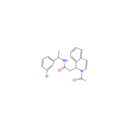 CC(=O)N1C=Cc2ccccc2C1CC(=O)NC(C)c1cccc(Br)c1